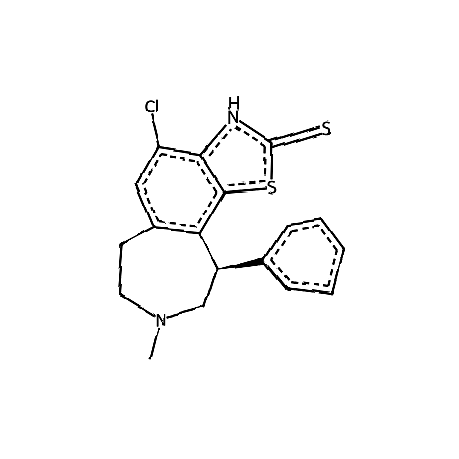 CN1CCc2cc(Cl)c3[nH]c(=S)sc3c2[C@@H](c2ccccc2)C1